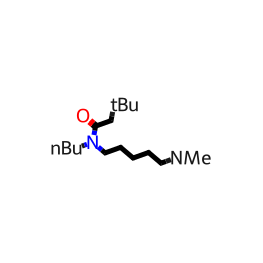 CCCCN(CCCCCNC)C(=O)CC(C)(C)C